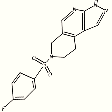 O=S(=O)(c1ccc(F)cc1)N1CCc2c(cnc3[nH]ncc23)C1